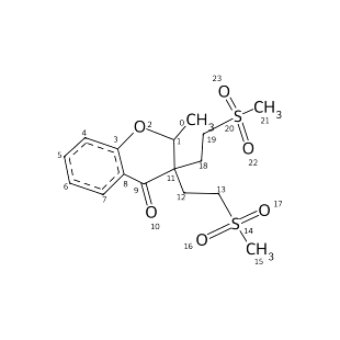 CC1Oc2ccccc2C(=O)C1(CCS(C)(=O)=O)CCS(C)(=O)=O